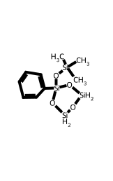 C[Si](C)(C)O[Si]1(c2ccccc2)O[SiH2]O[SiH2]O1